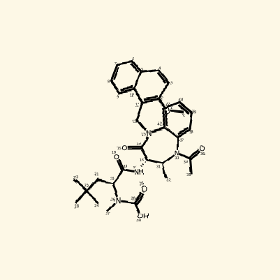 COc1ccc2ccccc2c1CN1C(=O)[C@@H](NC(=O)[C@H](CC(C)(C)C)N(C)C(=O)O)[C@H](C)N(C(C)=O)c2ccccc21